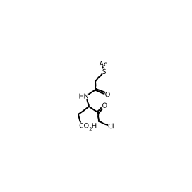 CC(=O)SCC(=O)NC(CC(=O)O)C(=O)CCl